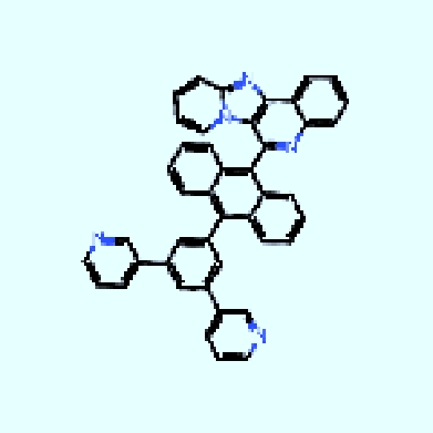 c1cncc(-c2cc(-c3cccnc3)cc(-c3c4ccccc4c(-c4nc5ccccc5c5nc6ccccn6c45)c4ccccc34)c2)c1